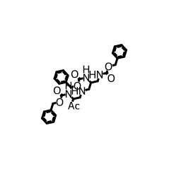 CC(=O)C(CNCC(CNC(=O)OCc1ccccc1)NC(=O)OCc1ccccc1)NC(=O)OCc1ccccc1